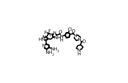 Nc1cnc(-c2[nH]nc(C(F)(F)F)c2Cc2cnc(C(=O)Nc3ccc(C(=O)N4CCN(C(=O)C5CCNCC5)CC4)c(Cl)c3)[nH]2)cc1N